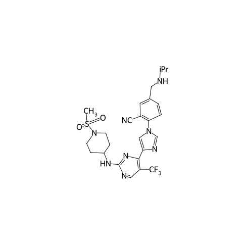 CC(C)NCc1ccc(-n2cnc(-c3nc(NC4CCN(S(C)(=O)=O)CC4)ncc3C(F)(F)F)c2)c(C#N)c1